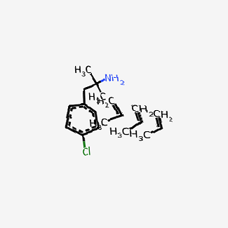 C=CC.C=CC.C=CC.CC(C)(N)Cc1ccc(Cl)cc1